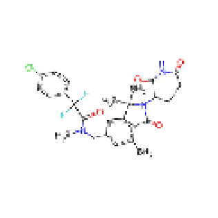 Bc1cc(CN(B)C(=O)C(F)(F)c2ccc(Cl)cc2)cc2c1C(=O)N(C1CCC(=O)NC1=O)C2(B)B